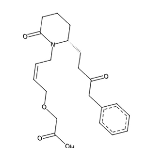 O=C(O)COC/C=C\CN1C(=O)CCC[C@@H]1CCC(=O)Cc1ccccc1